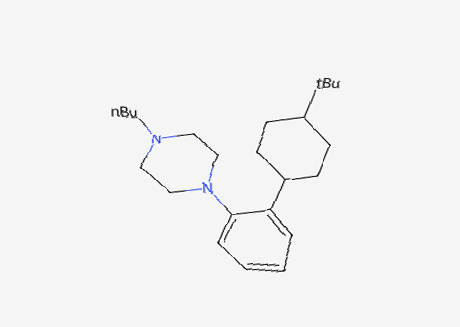 CCCCN1CCN(c2ccccc2C2CCC(C(C)(C)C)CC2)CC1